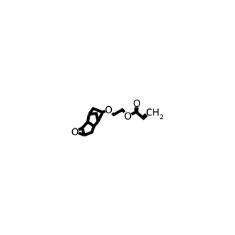 C=CC(=O)OCCOC1CC2CC1C1CC3OC3C21